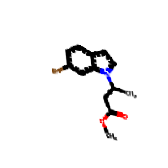 COC(=O)CC(C)n1ccc2ccc(Br)cc21